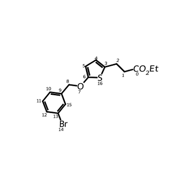 CCOC(=O)CCc1ccc(OCc2cccc(Br)c2)s1